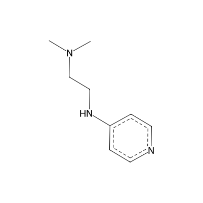 CN(C)CCNc1ccncc1